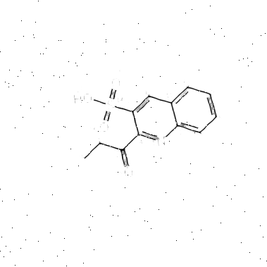 CCC(=O)c1nc2ccccc2cc1S(=O)(=O)O